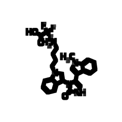 Cn1cc(-c2c[nH]c(=O)n2-c2cn(CCCCN)c3ccccc23)c2ccccc21.O=C(O)C(F)(F)F